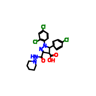 O=C(NN1CCCCC1)C1=NN(c2ccc(Cl)cc2Cl)C(c2ccc(Cl)cc2)C1C(=O)O